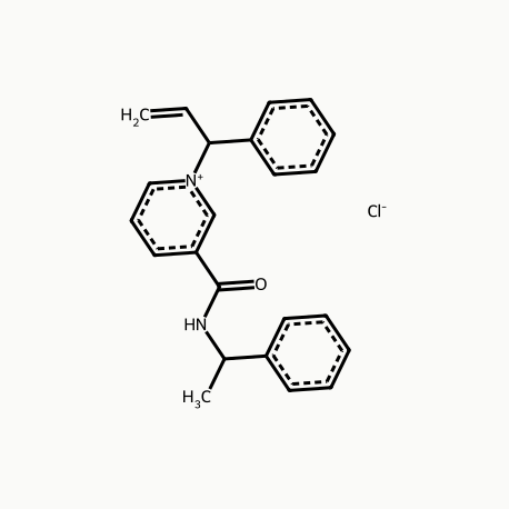 C=CC(c1ccccc1)[n+]1cccc(C(=O)NC(C)c2ccccc2)c1.[Cl-]